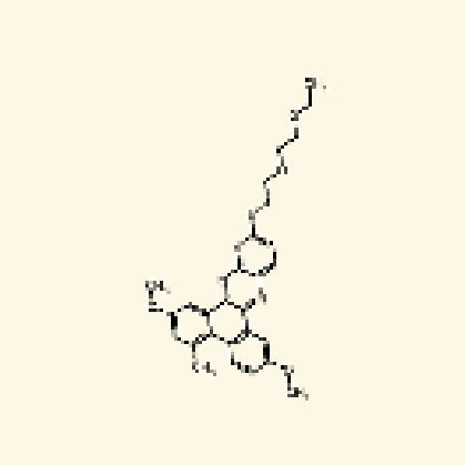 CCOCCOCCSc1ccc2nc3c4cc(OC)ccc4c4c(C)cc(OC)cc4c3nc2c1